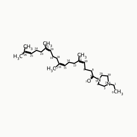 CCN1CCN(C(=O)CCC=C(C)CCC=C(C)CCC=C(C)CCC=C(C)C)CC1